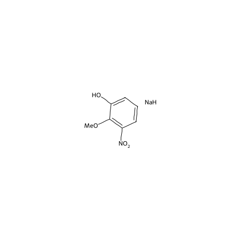 COc1c(O)cccc1[N+](=O)[O-].[NaH]